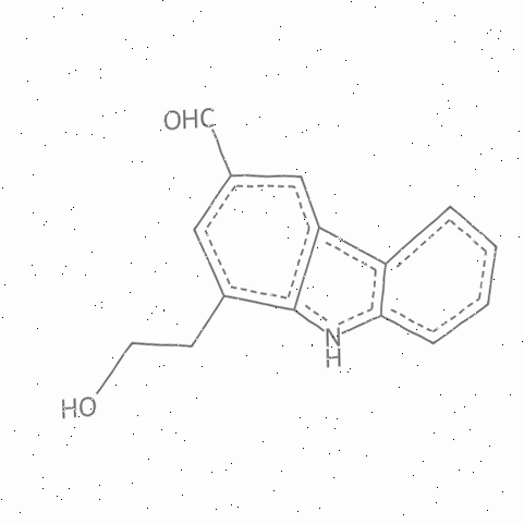 O=Cc1cc(CCO)c2[nH]c3ccccc3c2c1